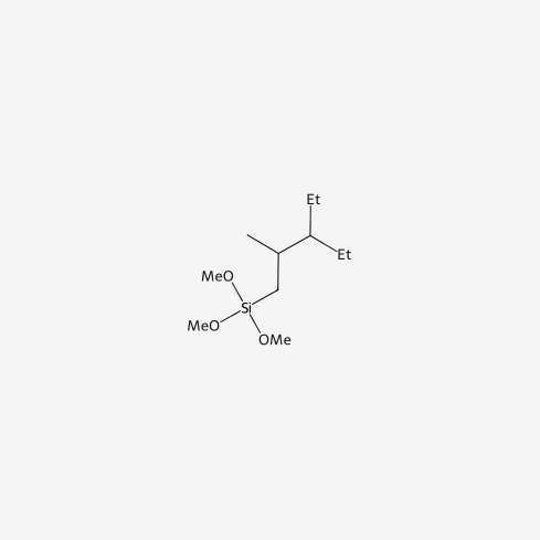 CCC(CC)C(C)C[Si](OC)(OC)OC